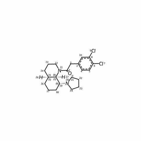 O=C(Cc1ccc(Cl)c(Cl)c1)N1CCC[C@@H]2CCC[C@@H](N3CCCC3)[C@@H]21